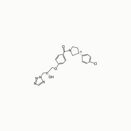 O=C(c1ccc(OC[C@H](O)Cn2ncnn2)cc1)N1CC[C@H](c2ccc(Cl)cc2)C1